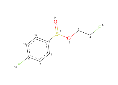 O=S(OCCF)c1ccc(F)cc1